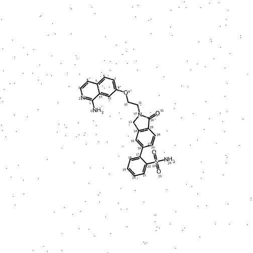 Nc1nccc2ccc(OCCN3Cc4cc(-c5ccccc5S(N)(=O)=O)ccc4C3=O)cc12